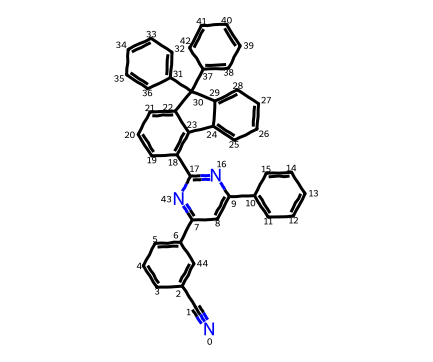 N#Cc1cccc(-c2cc(-c3ccccc3)nc(-c3cccc4c3-c3ccccc3C4(c3ccccc3)c3ccccc3)n2)c1